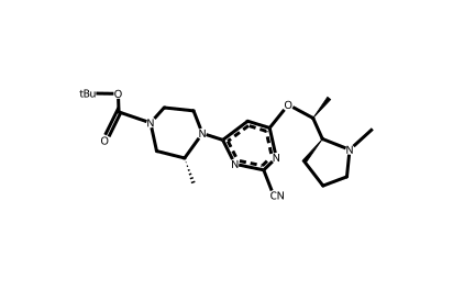 C[C@H](Oc1cc(N2CCN(C(=O)OC(C)(C)C)C[C@H]2C)nc(C#N)n1)[C@@H]1CCCN1C